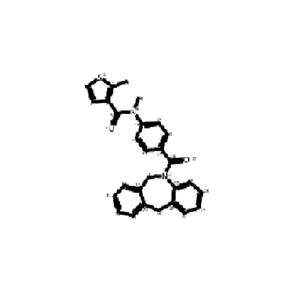 Cc1sccc1C(=O)N(C)c1ccc(C(=O)N2Cc3ccccc3Cc3ccccc32)cc1